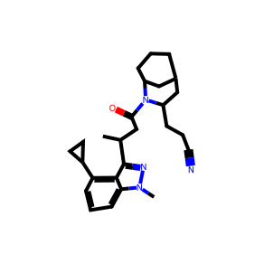 CC(CC(=O)N1C(CCC#N)CC2CCCC1C2)c1nn(C)c2cccc(C3CC3)c12